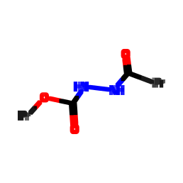 CC(C)OC(=O)NNC(=O)C(C)C